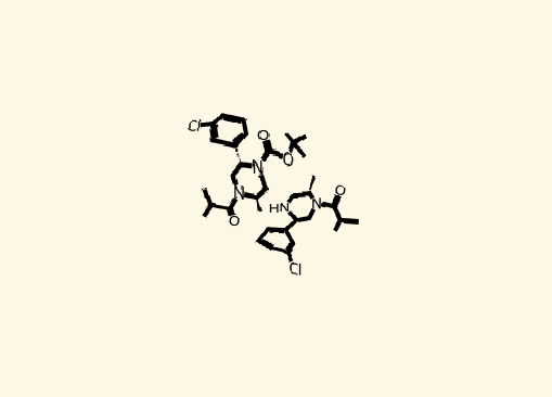 CC(C)C(=O)N1CC(c2cccc(Cl)c2)NC[C@H]1C.CC(C)C(=O)N1C[C@H](c2cccc(Cl)c2)N(C(=O)OC(C)(C)C)C[C@H]1C